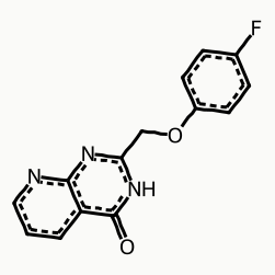 O=c1[nH]c(COc2ccc(F)cc2)nc2ncccc12